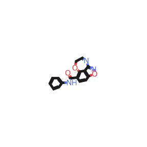 O=C(Nc1ccccc1)c1ccc2onc3c2c1OCC=N3